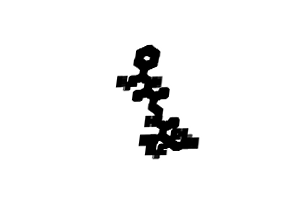 CC(NC(=O)C(=O)CCNC(=O)[C@H](O)C(C)(C)CO)c1ccccc1